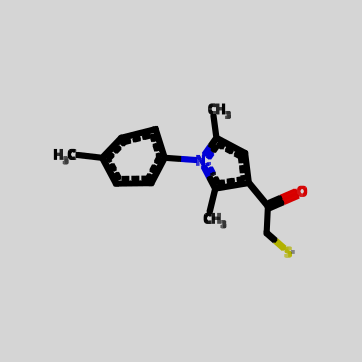 Cc1ccc(-n2c(C)cc(C(=O)C[S])c2C)cc1